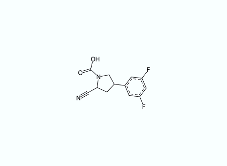 N#CC1CC(c2cc(F)cc(F)c2)CN1C(=O)O